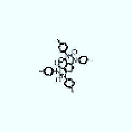 Cc1ccc(-n2c(=O)c3c4c(=O)n(-c5ccc(C)cc5)c(=O)n(-c5ccc(C)cc5)c4ccc3n(-c3ccc(C)cc3)c2=O)cc1